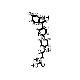 O=C(O)NCC(=O)NC1CCN(c2ccc(-c3c[nH]c4cc(F)ccc34)cn2)CC1